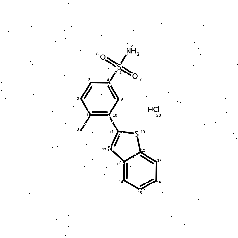 Cc1ccc(S(N)(=O)=O)cc1-c1nc2ccccc2s1.Cl